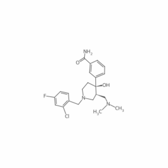 CN(C)C[C@H]1CN(Cc2ccc(F)cc2Cl)CC[C@]1(O)c1cccc(C(N)=O)c1